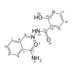 NC(=O)c1ccccc1/C=N/NC(=O)c1ccccc1O